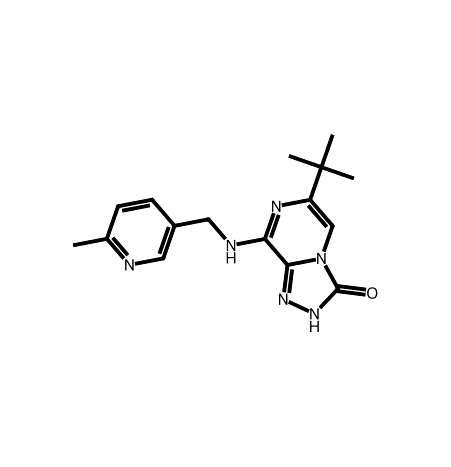 Cc1ccc(CNc2nc(C(C)(C)C)cn3c(=O)[nH]nc23)cn1